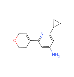 Nc1cc(C2=CCOCC2)nc(C2CC2)c1